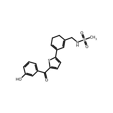 CS(=O)(=O)NCC1=CC(c2ccc(C(=O)c3cccc(O)c3)s2)=CCC1